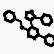 c1ccc(COc2nnc(-c3ccccc3)cc2-c2ccnn2-c2ccccc2)cc1